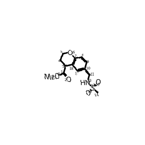 COC(=O)C1CCOc2ccc(CNS(C)(=O)=O)cc21